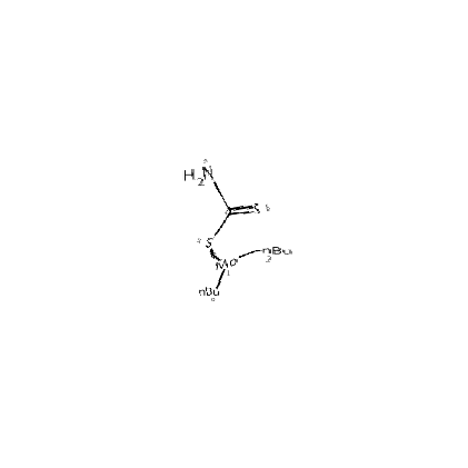 CCC[CH2][Mo]([CH2]CCC)[S]C(N)=S